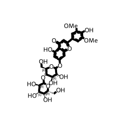 COc1cc(-c2cc(=O)c3c(O)cc(OC4O[C@H](CO)[C@@H](OC5O[C@H](CO)[C@H](O)[C@H](O)[C@H]5O)[C@H](O)[C@H]4O)cc3o2)cc(OC)c1O